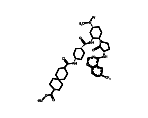 CC(C)N(C)[C@@H]1CC[C@H](N2CC[C@H](Nc3ncnc4ccc(C(F)(F)F)cc34)C2=O)[C@H](NC(=O)[C@H]2CC[C@@H](NC(=O)C3CCC4(CC3)CCN(C(=O)OC(C)(C)C)CC4)CC2)C1